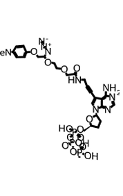 CNc1ccc(OCC(N=[N+]=[N-])OCCOCC(=O)NCC#Cc2cn([C@H]3CC[C@@H](COP(=O)(O)OP(=O)(O)OP(C)(=O)O)O3)c3ncnc(N)c23)cc1